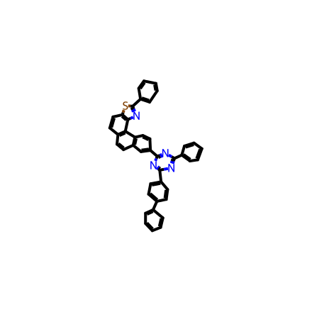 c1ccc(-c2ccc(-c3nc(-c4ccccc4)nc(-c4ccc5c(ccc6ccc7sc(-c8ccccc8)nc7c65)c4)n3)cc2)cc1